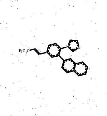 CCOC(=O)/C=C/c1ccc(-n2ccnc2)c(-c2ccc3ccccc3c2)c1